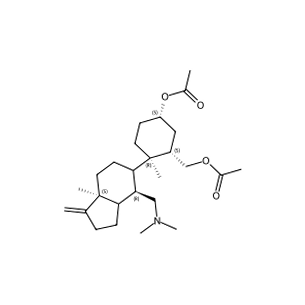 C=C1CCC2[C@H](CN(C)C)C([C@@]3(C)CC[C@H](OC(C)=O)C[C@@H]3COC(C)=O)CC[C@]12C